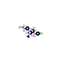 CC(C)C(=O)Nc1cccc(-n2c(=O)n(C3CC3)c(=O)c3c(Nc4ccc(Br)cc4F)cc(=O)n(C)c32)c1